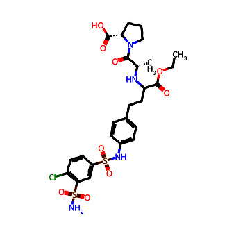 CCOC(=O)C(CCc1ccc(NS(=O)(=O)c2ccc(Cl)c(S(N)(=O)=O)c2)cc1)N[C@@H](C)C(=O)N1CCC[C@H]1C(=O)O